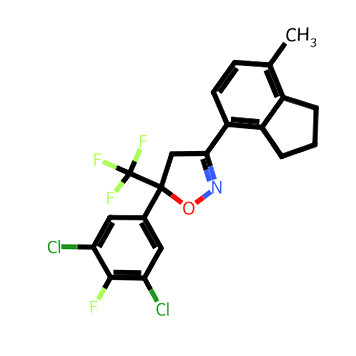 Cc1ccc(C2=NOC(c3cc(Cl)c(F)c(Cl)c3)(C(F)(F)F)C2)c2c1CCC2